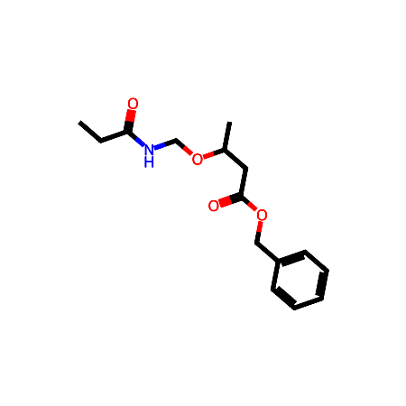 CCC(=O)NCOC(C)CC(=O)OCc1ccccc1